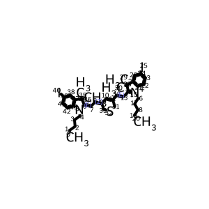 CCCCCN1/C(=C/C=C2C=C(/C=C/C3=[N+](CCCCC)c4ccc(I)cc4C3(C)C)CSC/2)C(C)(C)c2cc(I)ccc21